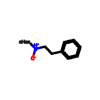 CCCCCC[NH+]([O-])CCc1ccccc1